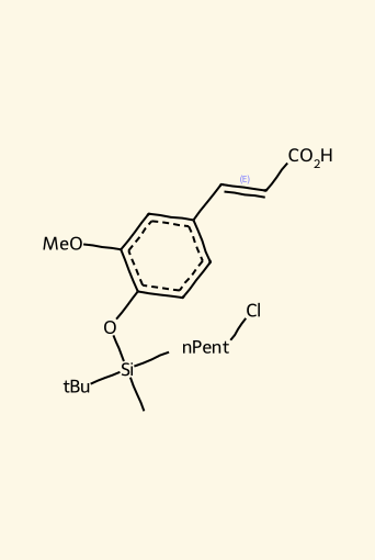 CCCCCCl.COc1cc(/C=C/C(=O)O)ccc1O[Si](C)(C)C(C)(C)C